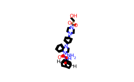 NC(=O)C12CC3C[C@H](C1)C(NC(=O)N1CCN(c4ccc(N5CCN(S(=O)(=O)CCO)CC5)cc4)c4ccccc41)[C@@H](C3)C2